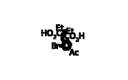 CCC(CC)C(Cc1ccc(C(C)=O)cc1Br)(C(=O)O)C(=O)O